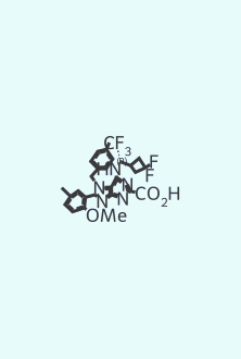 COc1ccc(C)cc1-c1nc2nc(C(=O)O)nc(N[C@H](C)C3CC(F)(F)C3)c2n1Cc1ccc(C(F)(F)F)cc1